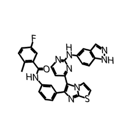 Cc1ccc(F)cc1C(=O)Nc1cccc(-c2nc3sccn3c2-c2ccnc(Nc3ccc4[nH]ncc4c3)n2)c1